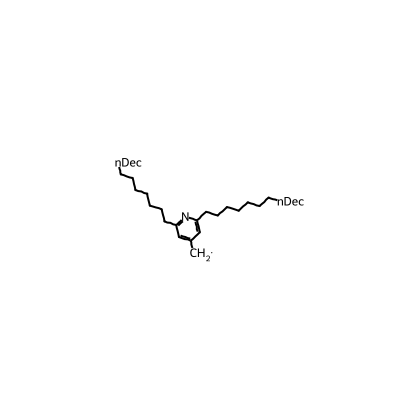 [CH2]c1cc(CCCCCCCCCCCCCCCCC)nc(CCCCCCCCCCCCCCCCC)c1